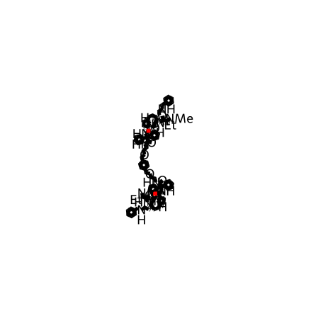 CC[C@H](NC)C(=O)N[C@@H]1C(=O)N2C(C(=O)NC(C(=O)NCCOCc3ccc(COCCNC(=O)C(NC(=O)[C@@H]4CC[C@@H]5CC[C@H](CCNCc6ccccc6)[C@H](NC(=O)[C@H](CC)NC)C(=O)N54)(c4ccccc4)c4ccccc4)cc3)(c3ccccc3)c3ccccc3)CC[C@@H]2CC[C@@H]1CCNCc1ccccc1